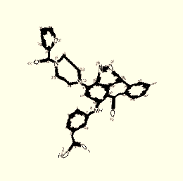 O=C(O)c1cccc(Nc2cc(N3CCN(C(=O)c4ccco4)CC3)c3noc4c3c2C(=O)c2ccccc2-4)c1